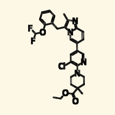 CCOC(=O)C1(C)CCN(c2ncc(-c3ccc4nc(C)c(Cc5ccccc5OC(F)F)n4c3)cc2Cl)CC1